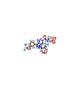 CC1(NC(=O)c2cnc3c(-c4cccc(OC(F)F)c4)nn(C4CCOCC4F)c3c2)CS(=O)(=O)C1